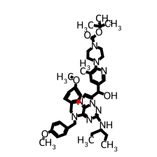 CCC(CC)Nc1nc(N(Cc2ccc(OC)cc2)Cc2ccc(OC)cc2)c2ncc(C(O)c3cnc(N4CCN(C(=O)OC(C)(C)C)CC4)c(C)c3)n2n1